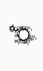 CC[C@H]1C(=O)C(C)(C)[C@@H](O)CC(=O)O[C@H](C(C)=Cc2ccccn2)C[C@H]2O[C@]2(C)CCC[C@H](C)[C@@H]1O